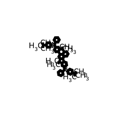 CC(C)(C)c1ccc(N(c2ccccc2)c2ccc3c(c2)C(C)(C)c2cc4c5c(cccc5c2-3)C(C)(C)c2cc(N(c3ccccc3)c3ccc(C(C)(C)C)cc3)ccc2-4)cc1